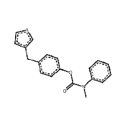 CN(C(=O)Oc1ccc(Cc2ccsc2)cc1)c1ccccc1